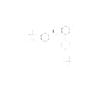 CC(C)(C)N(CCO)Cc1ccc(C(=O)Nc2ccc(Cl)cc2N2CCN(CCC(F)(F)F)CC2)c(F)c1